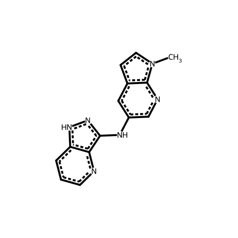 Cn1ccc2cc(Nc3n[nH]c4cccnc34)cnc21